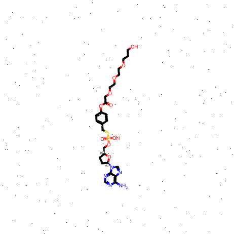 Nc1ncnc2c1ncn2[C@H]1CC[C@@H](COP(=O)(O)SCc2ccc(OC(=O)COCCOCCOCCCO)cc2)O1